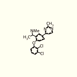 CNC(C)c1cc(-c2ccnc(C)n2)ccc1Oc1cccc(Cl)c1Cl